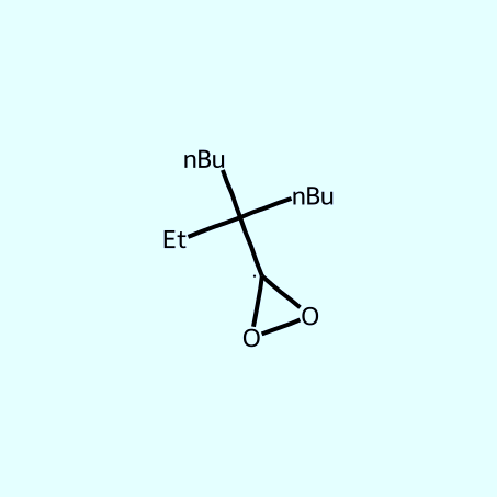 CCCCC(CC)(CCCC)[C]1OO1